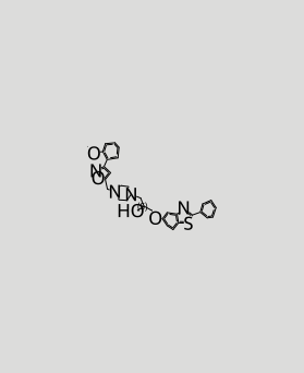 COc1ccccc1-c1cc(CN2CCN(C[C@H](O)COc3ccc4sc(-c5ccccc5)nc4c3)CC2)on1